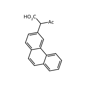 CC(=O)C(C(=O)O)c1ccc2ccc3ccccc3c2c1